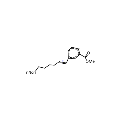 CCCCCCCCCCCCC/C=C/c1cc[c]c(C(=O)OC)c1